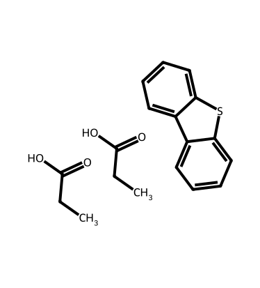 CCC(=O)O.CCC(=O)O.c1ccc2c(c1)sc1ccccc12